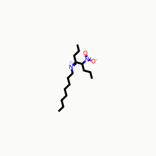 CCCCCCCC/N=C(/CCC)C(CCC)[N+](=O)[O-]